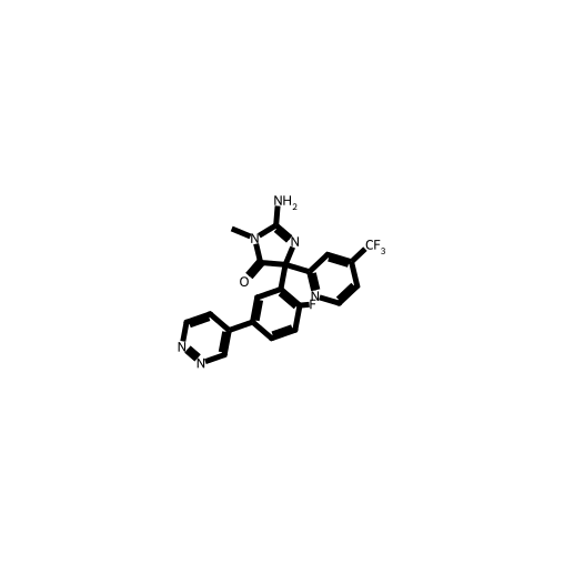 CN1C(=O)C(c2cc(C(F)(F)F)ccn2)(c2cc(-c3ccnnc3)ccc2F)N=C1N